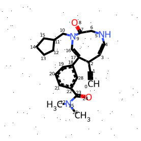 C#CC1/C=C\NCC(=O)N(CC2CCCC2)/C=C\1c1cccc(C(=O)N(C)C)c1